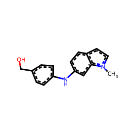 Cn1ccc2ccc(Nc3ccc(CO)cc3)cc21